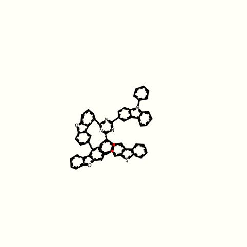 c1ccc(-c2nc(-c3ccc4c(c3)c3ccccc3n4-c3ccccc3)nc(-c3cccc4oc5ccc(-c6cc(-c7ccc8c(c7)sc7ccccc78)cc7oc8ccccc8c67)cc5c34)n2)cc1